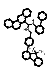 CC1(C)c2ccccc2-c2cccc(-c3ccc(CNC(Nc4ccccc4-c4ccccc4)c4c5ccccc5cc5c4ccc4ccccc45)cc3)c21